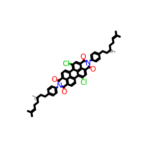 CC(C)=CCC[C@H](C)CCc1ccc(N2C(=O)c3ccc4c5c(Cl)cc6c7c(cc(Cl)c(c8ccc(c3c48)C2=O)c75)C(=O)N(c2ccc(CC[C@@H](C)CCC=C(C)C)cc2)C6=O)cc1